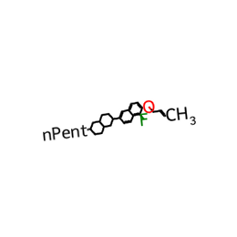 CC=CCOc1ccc2cc(C3CCC4CC(CCCCC)CCC4C3)ccc2c1F